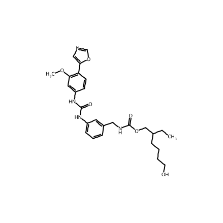 CCC(CCCCO)COC(=O)NCc1cccc(NC(=O)Nc2ccc(-c3cnco3)c(OC)c2)c1